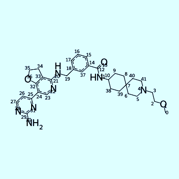 COCCN1CCC2(CCC(NC(=O)c3cccc(CNc4ncc(-c5ccnc(N)n5)c5c4CCO5)c3)CC2)CC1